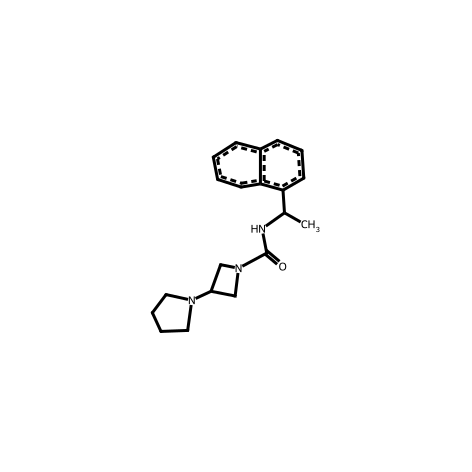 CC(NC(=O)N1CC(N2CCCC2)C1)c1cccc2ccccc12